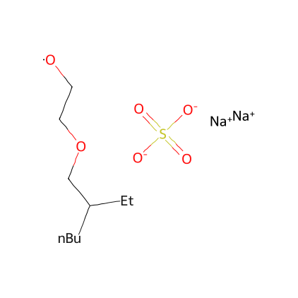 CCCCC(CC)COCC[O].O=S(=O)([O-])[O-].[Na+].[Na+]